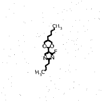 CCCCCC1COC(c2cnc(CCCC)nc2F)OC1